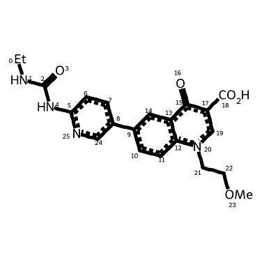 CCNC(=O)Nc1ccc(-c2ccc3c(c2)c(=O)c(C(=O)O)cn3CCOC)cn1